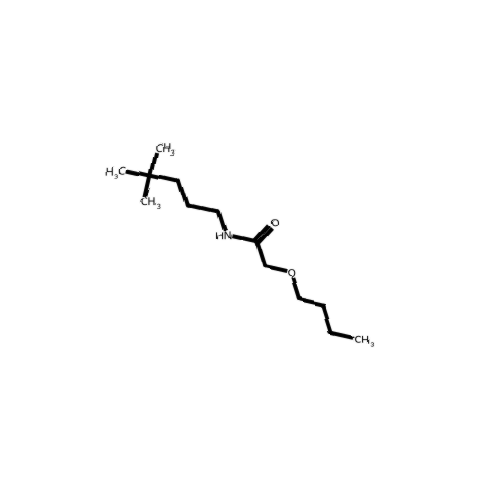 CCCCOCC(=O)NCCCC(C)(C)C